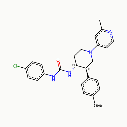 COc1ccc([C@@H]2CN(c3ccnc(C)c3)CC[C@H]2NC(=O)Nc2ccc(Cl)cc2)cc1